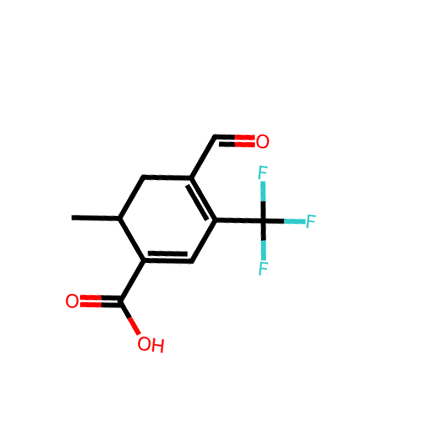 CC1CC(C=O)=C(C(F)(F)F)C=C1C(=O)O